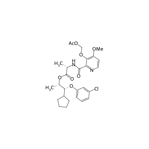 COc1ccnc(C(=O)N[C@@H](C)C(=O)O[C@@H](C)[C@H](Oc2cccc(Cl)c2)C2CCCC2)c1OCOC(C)=O